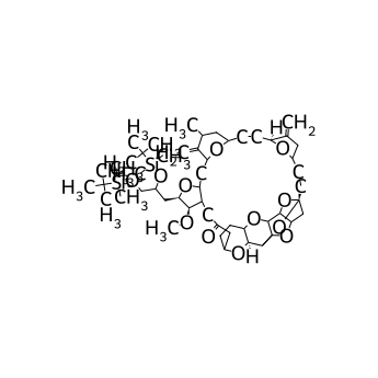 C=C1C(C)CC2CC[C@@H]3OC(CC[C@@]45CC6OC7C(OC8CCC(CC(=O)CC9C(CC1O2)O[C@H](CC(CO[Si](C)(C)C(C)(C)C)O[Si](C)(C)C(C)(C)C)[C@@H]9OC)O[C@@H]8C7O4)C6O5)CC3=C